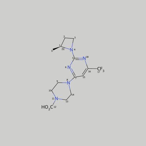 C[C@H]1CCN1c1nc(N2CCN(C(=O)O)CC2)cc(C(F)(F)F)n1